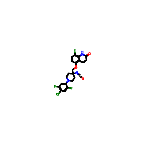 O=C=NC1(COc2ccc(F)c3c2CCC(=O)N3)CCN(c2cc(F)c(Cl)cc2F)CC1